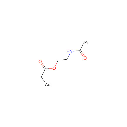 CC(=O)CC(=O)OCCNC(=O)C(C)C